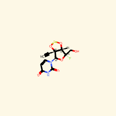 C#C[C@@]12OSO[C@@H]1[C@@](F)(CO)O[C@H]2n1ccc(=O)[nH]c1=O